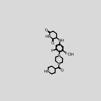 Cl.O=C1CCC(Nc2cc(F)c(N3CCN(C(=O)C4CCNCC4)CC3)c(F)c2)C(=O)N1